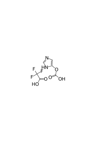 O=C(O)C(F)(F)F.O=C(O)Oc1cnc[nH]1